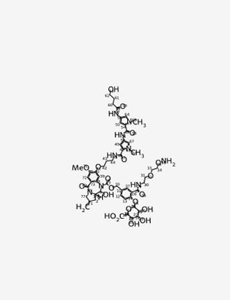 C=C1C[C@H]2C(O)N(C(=O)OCc3ccc(O[C@@H]4O[C@H](C(=O)O)[C@@H](O)[C@H](O)[C@H]4O)c(C(=O)NCCOCCON)c3)c3cc(OCCCNC(=O)c4cc(NC(=O)c5cc(NC(=O)CCCO)cn5C)cn4C)c(OC)cc3C(=O)N2C1